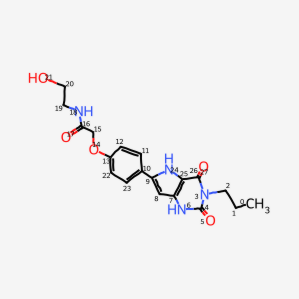 CCCn1c(=O)[nH]c2cc(-c3ccc(OCC(=O)NCCO)cc3)[nH]c2c1=O